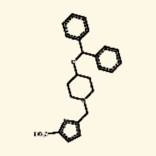 O=C(O)c1ccc(CN2CCC(OC(c3ccccc3)c3ccccc3)CC2)s1